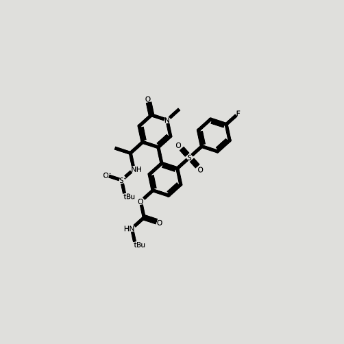 CC(N[S+]([O-])C(C)(C)C)c1cc(=O)n(C)cc1-c1cc(OC(=O)NC(C)(C)C)ccc1S(=O)(=O)c1ccc(F)cc1